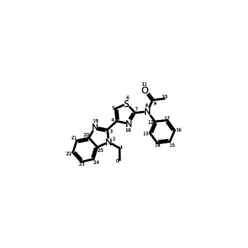 CCn1c(-c2csc(N(C(C)=O)c3ccccc3)n2)nc2ccccc21